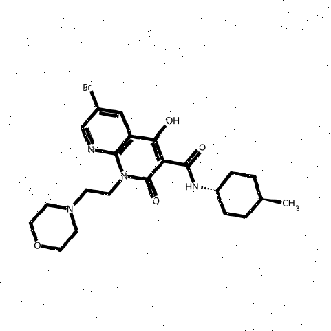 C[C@H]1CC[C@H](NC(=O)c2c(O)c3cc(Br)cnc3n(CCN3CCOCC3)c2=O)CC1